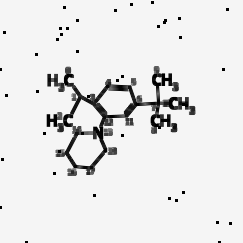 CC(C)c1ccc(C(C)(C)C)cc1N1CCCCC1